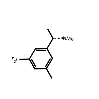 CN[C@@H](C)c1cc(C)cc(C(F)(F)F)c1